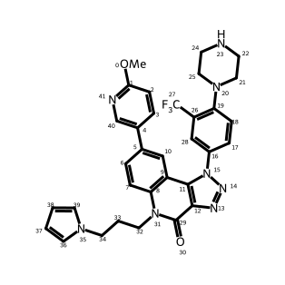 COc1ccc(-c2ccc3c(c2)c2c(nnn2-c2ccc(N4CCNCC4)c(C(F)(F)F)c2)c(=O)n3CCCn2cccc2)cn1